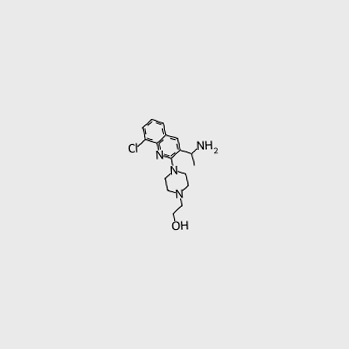 CC(N)c1cc2cccc(Cl)c2nc1N1CCN(CCO)CC1